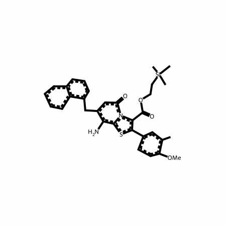 COc1ccc(-c2sc3c(N)c(Cc4cccc5ccccc45)cc(=O)n3c2C(=O)OCC[Si](C)(C)C)cc1C